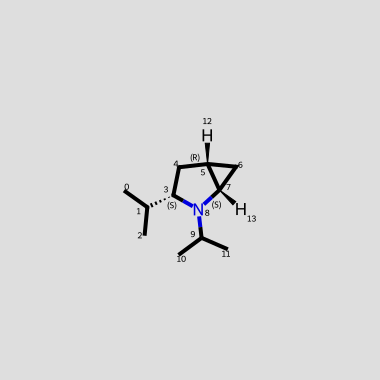 CC(C)[C@@H]1C[C@@H]2C[C@@H]2N1C(C)C